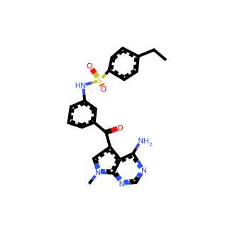 CCc1ccc(S(=O)(=O)Nc2cccc(C(=O)c3cn(C)c4ncnc(N)c34)c2)cc1